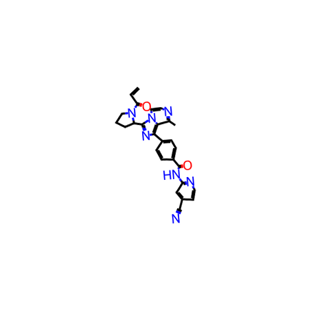 C=CC(=O)N1CCCC1c1nc(-c2ccc(C(=O)Nc3cc(C#N)ccn3)cc2)c2c(C)nccn12